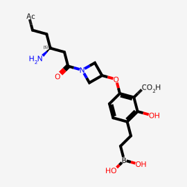 CC(=O)CC[C@H](N)CC(=O)N1CC(Oc2ccc(CCB(O)O)c(O)c2C(=O)O)C1